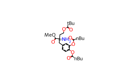 CCCCC(=O)Oc1ccc(C[C@](N)(CCOC(=O)C(C)(C)C)C(=O)OC)cc1OC(=O)CCCC